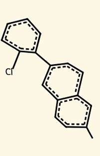 Cc1ccc2cc(-c3ccccc3Cl)ccc2c1